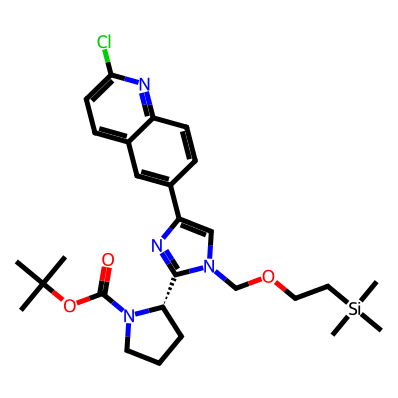 CC(C)(C)OC(=O)N1CCC[C@H]1c1nc(-c2ccc3nc(Cl)ccc3c2)cn1COCC[Si](C)(C)C